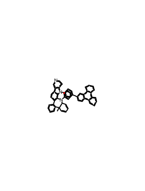 CC12C=CC=CC1N(c1ccccc1)c1c(ccc3c4cnccc4n(-c4ccc(-c5ccc6c7ccccc7c7ccccc7c6c5)cc4)c13)-c1ccccc12